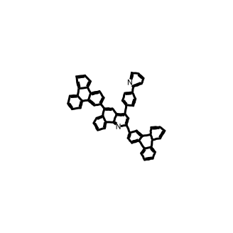 C1=CC2c3ccccc3-c3ccc(-c4cc(-c5ccc(-c6ccccn6)cc5)c5cc(-c6ccc7c8ccccc8c8ccccc8c7c6)c6ccccc6c5n4)cc3C2C=C1